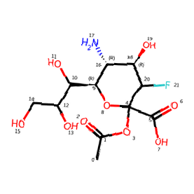 CC(=O)OC1(C(=O)O)O[C@@H](C(O)C(O)CO)[C@H](N)[C@@H](O)C1F